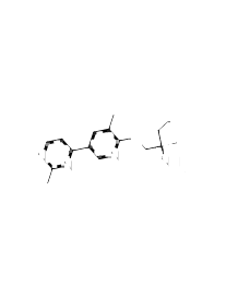 Cc1nccc(-c2cnc(OC[C@@](C)(N)CC(C)C)c(C)c2)n1